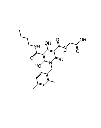 CCCCNC(=O)c1c(O)c(C(=O)NCC(=O)O)c(=O)n(Cc2ccc(C)cc2C)c1O